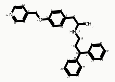 CC(Cc1ccc(OCc2ccncc2)cc1)NCCC(c1ccccc1)c1ccccc1